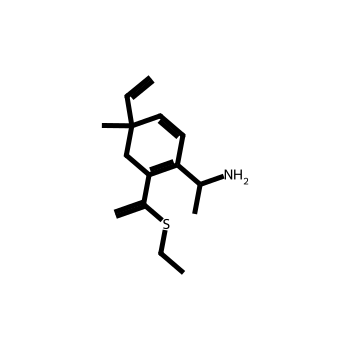 C=CC1(C)C=CC(C(C)N)=C(C(=C)SCC)C1